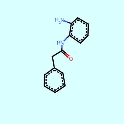 Nc1ccccc1NC(=O)Cc1ccccc1